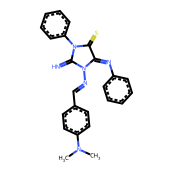 CN(C)c1ccc(C=NN2C(=N)N(c3ccccc3)C(=S)C2=Nc2ccccc2)cc1